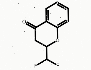 O=C1CC(C(F)F)Oc2ccccc21